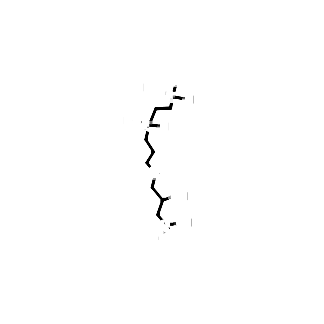 CN(C)CC(O)COCCC[Si](C)(C)CC[Si](C)(C)C